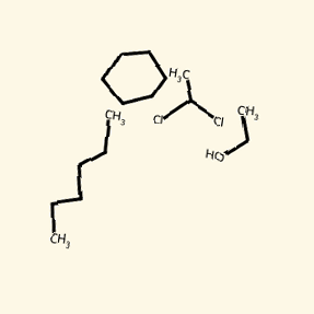 C1CCCCC1.CC(Cl)Cl.CCCCCC.CCO